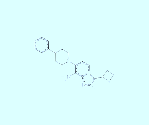 Nc1c(N2CCC(c3ccccc3)CC2)ccn2c(C3CCC3)nnc12